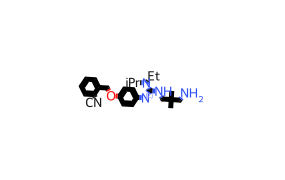 CCN(/C(=N\c1ccc(OCc2ccccc2C#N)cc1)NCC(C)(C)CN)C(C)C